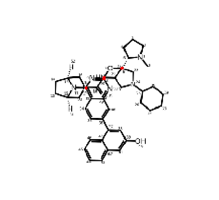 CN1CCC[C@H]1COc1nc(N2[C@@H]3CC[C@H]2CN(C(=O)NC2CCN(C4CCCCC4)C2)C3)c2ccc(-c3cc(O)cc4ccccc34)cc2n1